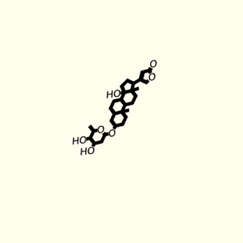 CC1OC(OC2CCC3(C)C(CCC4C3CCC3(C)C(C5=CC(=O)OC5)CCC43O)C2)CC(O)C1O